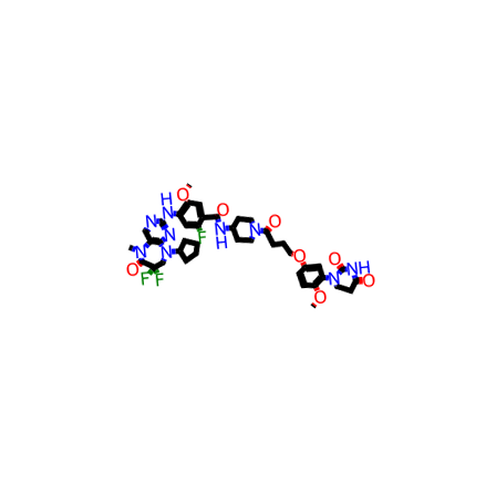 COc1cc(C(=O)NC2CCN(C(=O)CCCOc3ccc(OC)c(N4CCC(=O)NC4=O)c3)CC2)c(F)cc1Nc1ncc2c(n1)N(C1CCCC1)CC(F)(F)C(=O)N2C